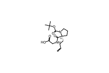 C=CCC[C@@]1(C(=O)NCC(=O)O)CCCN1C(=O)OC(C)(C)C